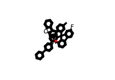 Cc1ccc2c(c1)C1(c3cc(C)ccc3-2)c2cc(F)ccc2-c2cccc(N(c3ccc(-c4ccccc4)cc3)c3ccc4c(c3)oc3ccccc34)c21